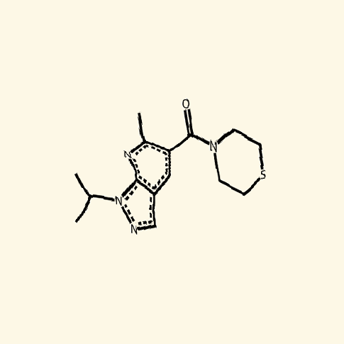 Cc1nc2c(cnn2C(C)C)cc1C(=O)N1CCSCC1